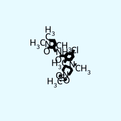 CCN(c1cc(Cl)cc(C(=O)NCc2c(C)cc(C)n(C)c2=O)c1C)C1CCN(S(C)(=O)=O)CC1